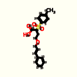 Cc1ccc(S(=O)(=O)C(CCOCC=Cc2ccccc2)C(=O)O)cc1